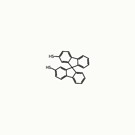 Sc1ccc2c(c1)C1(c3ccccc3-2)c2ccccc2-c2ccc(S)cc21